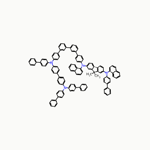 CC1(C)c2cc(N(c3ccc(-c4ccccc4)cc3)c3cccc4ccccc34)ccc2-c2ccc(N(c3ccc(-c4cccc(-c5cccc(-c6ccc(N(c7ccc(-c8ccccc8)cc7)c7ccc(-c8ccc(N(c9ccc(-c%10ccccc%10)cc9)c9ccc(-c%10ccccc%10)cc9)cc8)cc7)cc6)c5)c4)cc3)c3cccc4ccccc34)cc21